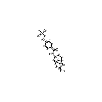 CS(=O)(=O)COc1ccc(C(=O)NC2CCC3CC4CC(O)(C3)CC42)cc1